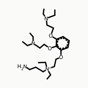 CCN(CC)CCOc1cccc(OCC[N+](CC)(CC)CCCN)c1OCCN(CC)CC